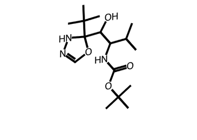 CC(C)C(NC(=O)OC(C)(C)C)C(O)C1(C(C)(C)C)NN=CO1